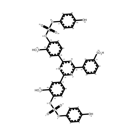 O=S(=O)(Oc1ccc(O)cc1)Oc1ccc(-c2nc(-c3cccc(S(=O)(=O)O)c3)nc(-c3ccc(OS(=O)(=O)Oc4ccc(O)cc4)c(S(=O)(=O)O)c3)n2)cc1S(=O)(=O)O